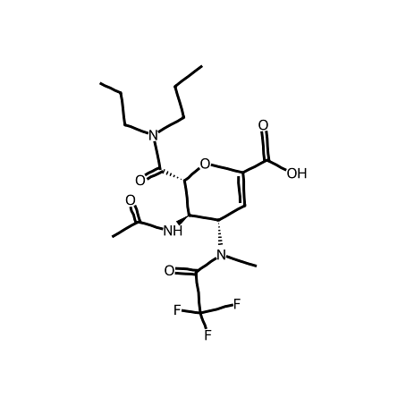 CCCN(CCC)C(=O)[C@@H]1OC(C(=O)O)=C[C@H](N(C)C(=O)C(F)(F)F)[C@H]1NC(C)=O